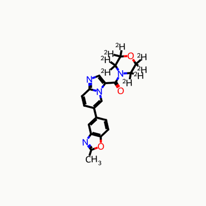 [2H]C1([2H])OC([2H])([2H])C([2H])([2H])N(C(=O)c2cnc3ccc(-c4ccc5oc(C)nc5c4)cn23)C1([2H])[2H]